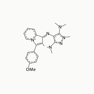 COc1ccc(C2=C(C)/C(=N\c3c(N(C)C)nn(C)c3N(C)C)c3cccc[n+]32)cc1